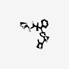 Cc1cscc1-c1ncn2cc(C(c3ccccc3)C(C)(C)C(=O)Nc3nncs3)ccc12